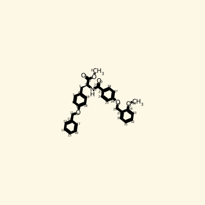 COC(=O)[C@H](Cc1ccc(OCc2ccccc2)cc1)NC(=O)c1ccc(OCc2ccccc2OC)cc1